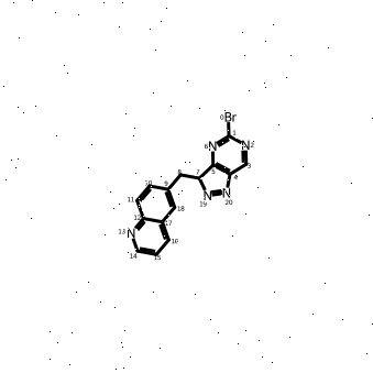 Brc1ncc2c(n1)C(Cc1ccc3ncccc3c1)N=N2